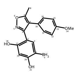 Bc1cc(-c2noc(C)c2-c2ccc(OC)cc2)c(O)cc1O